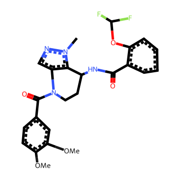 COc1ccc(C(=O)N2CCC(NC(=O)c3ccccc3OC(F)F)c3c2cnn3C)cc1OC